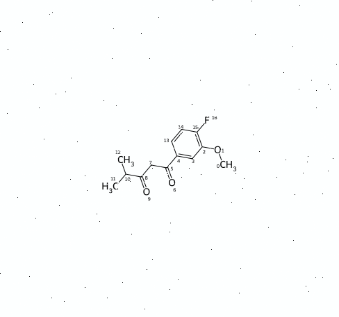 COc1cc(C(=O)CC(=O)C(C)C)ccc1F